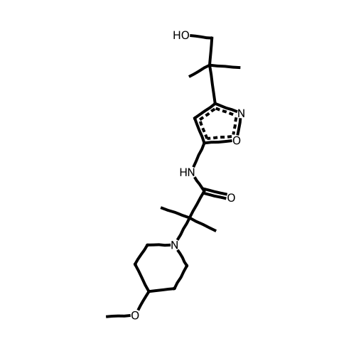 COC1CCN(C(C)(C)C(=O)Nc2cc(C(C)(C)CO)no2)CC1